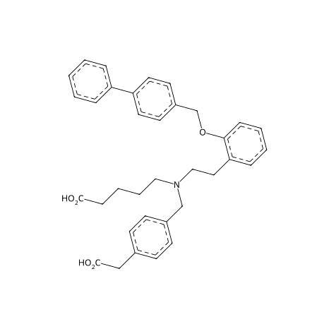 O=C(O)CCCCN(CCc1ccccc1OCc1ccc(-c2ccccc2)cc1)Cc1ccc(CC(=O)O)cc1